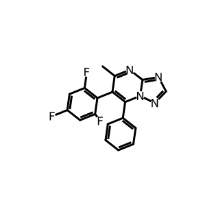 Cc1nc2ncnn2c(-c2ccccc2)c1-c1c(F)cc(F)cc1F